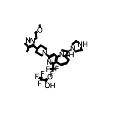 COCCn1ncc(C)c1C1CCN(c2cc3c(c(C(F)(F)F)n2)C=CC[C@H]2[C@H](N4CCNCC4)CN32)CC1.O=C(O)C(F)(F)F